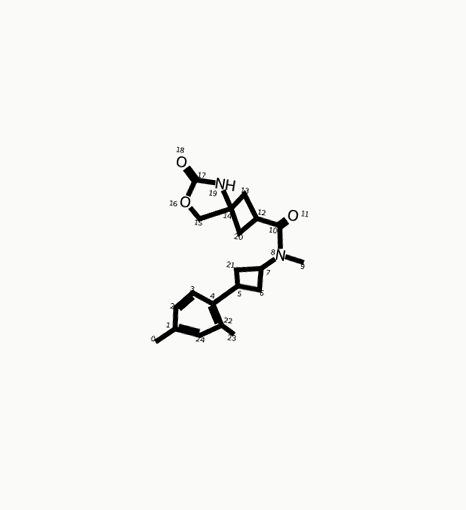 Cc1ccc(C2CC(N(C)C(=O)C3CC4(COC(=O)N4)C3)C2)c(C)c1